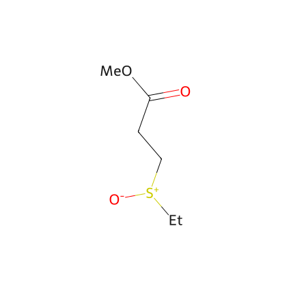 CC[S+]([O-])CCC(=O)OC